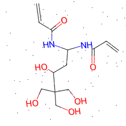 C=CC(=O)NC(CC(O)C(CO)(CO)CO)NC(=O)C=C